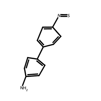 Nc1ccc(-c2ccc(N=S)cc2)cc1